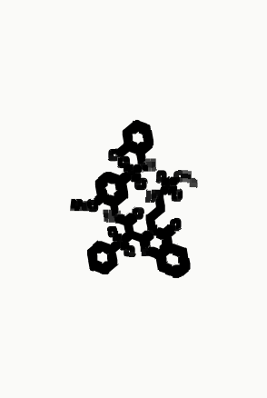 COc1ccc(S(=O)(=O)Nc2ccccc2Cl)cc1NC(=O)C(c1nc2ccccc2c(=O)n1CCNS(C)(=O)=O)S(=O)(=O)c1ccccc1